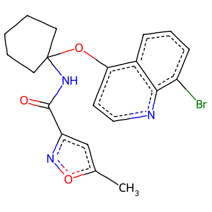 Cc1cc(C(=O)NC2(Oc3ccnc4c(Br)cccc34)CCCCC2)no1